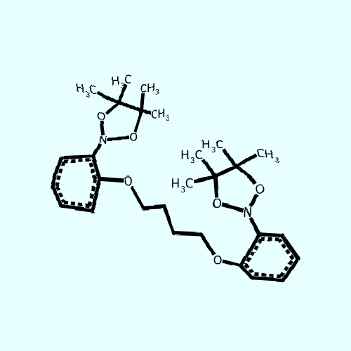 CC1(C)ON(c2ccccc2OCCCCOc2ccccc2N2OC(C)(C)C(C)(C)O2)OC1(C)C